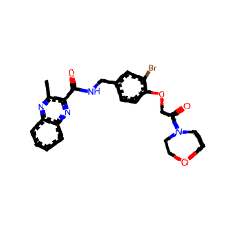 Cc1nc2ccccc2nc1C(=O)NCc1ccc(OCC(=O)N2CCOCC2)c(Br)c1